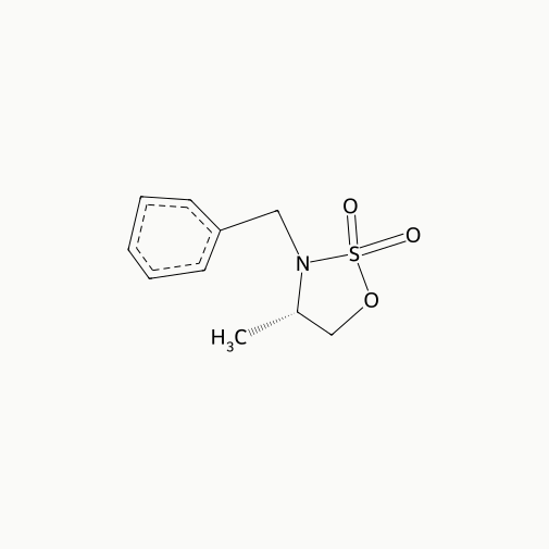 C[C@H]1COS(=O)(=O)N1Cc1ccccc1